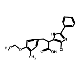 CCOc1ccc(CC(C(=O)O)c2[nH]c(-c3ccccc3)nc2Cl)cc1C